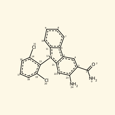 NC(=O)c1cc2c3ccccc3n(-c3c(Cl)cccc3Cl)c2nc1N